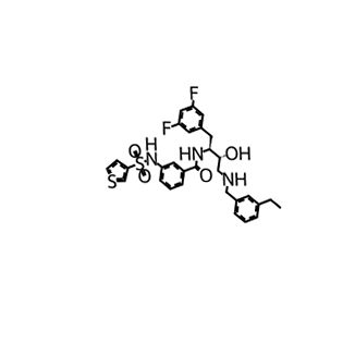 CCc1cccc(CNC[C@@H](O)[C@H](Cc2cc(F)cc(F)c2)NC(=O)c2cccc(NS(=O)(=O)c3ccsc3)c2)c1